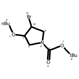 CCCCOC1CN(C(=O)OC(C)(C)C)CC1Br